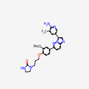 COc1cc(-c2ccc3ncc(-c4cnc(N)c(C(F)(F)F)c4)n3n2)ccc1OCCCN1CCNC1=O